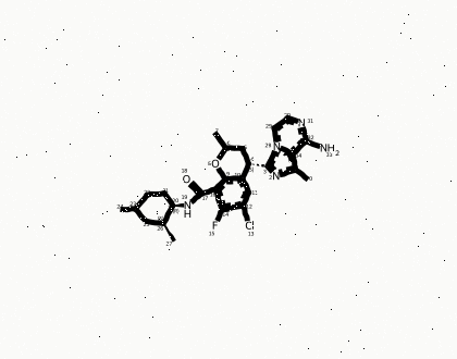 Cc1nc([C@H]2CC(C)Oc3c2cc(Cl)c(F)c3C(=O)N[C@@H]2CCC(C)C[C@@H]2C)n2ccnc(N)c12